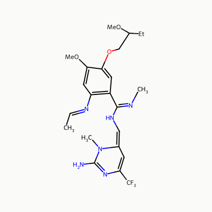 C/C=N/c1cc(OC)c(OCC(CC)OC)cc1/C(=N\C)N/C=C1/C=C(C(F)(F)F)N=C(N)N1C